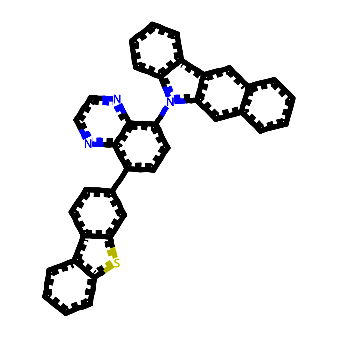 c1ccc2cc3c(cc2c1)c1ccccc1n3-c1ccc(-c2ccc3c(c2)sc2ccccc23)c2nccnc12